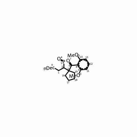 CCCCCCCCCCCC(P=O)C1(C(=O)c2c(OC)cccc2OC)CCCC1